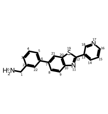 NCc1cccc(-c2ccc3nc(-c4cccnc4)sc3c2)c1